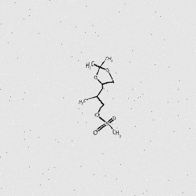 CC(COS(C)(=O)=O)C1COC(C)(C)O1